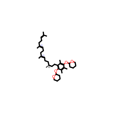 CC(C)=CCC/C(C)=C/CC/C(C)=C/CC[C@H](C)CCc1c(C)c(OC2CCCCO2)c(C)c(C)c1OC1CCCCO1